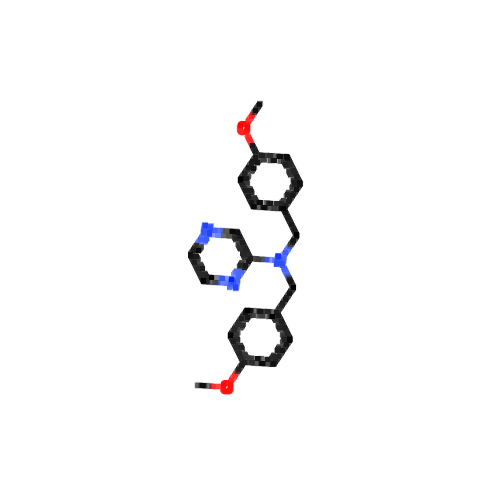 COc1ccc(CN(Cc2ccc(OC)cc2)c2cnccn2)cc1